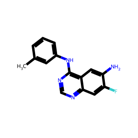 Cc1cccc(Nc2ncnc3cc(F)c(N)cc23)c1